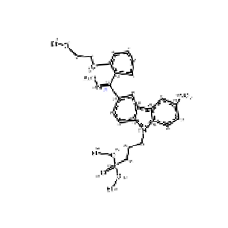 CCOCCOc1ccccc1/C(=N\OC(C)=O)c1ccc2c(c1)c1cc([N+](=O)[O-])ccc1n2CCCP(=O)(OCC)OCC